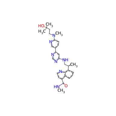 CNC(=O)c1ccnc2c([C@H](C)CNc3cc(-c4ccc(N(C)CCC(C)(C)O)nc4)ncn3)cccc12